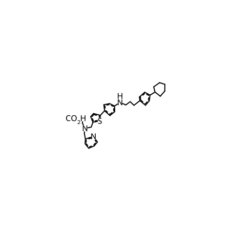 O=C(O)CN(Cc1ccccn1)Cc1ccc(-c2ccc(NCCCc3ccc(C4CCCCC4)cc3)cc2)s1